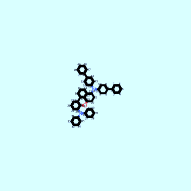 C1=C(c2ccccc2)CCC(N(C2=c3cccc4c3=C(CC2)Oc2c-4cccc2N(c2ccccc2)c2ccccc2)c2ccc(-c3ccccc3)cc2)=C1